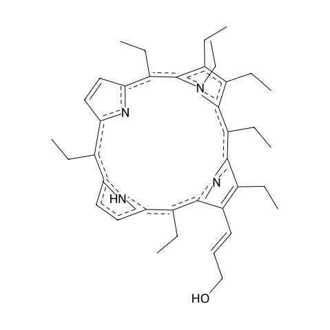 CCC1=C(C=CCO)c2nc1c(CC)c1c(CC)c(CC)c(c(CC)c3nc(c(CC)c4ccc([nH]4)c2CC)C=C3)n1CC